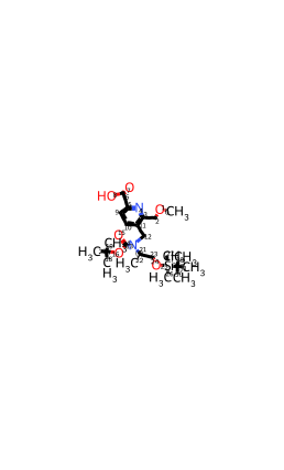 COCc1nc(C(=O)O)ccc1CN(C(=O)OC(C)(C)C)[C@@H](C)CO[Si](C)(C)C(C)(C)C